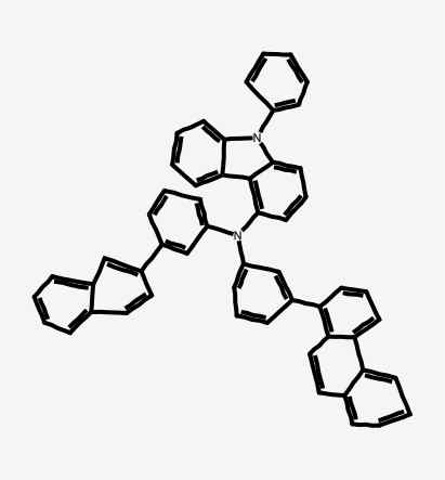 c1ccc(-n2c3ccccc3c3c(N(c4cccc(-c5ccc6ccccc6c5)c4)c4cccc(-c5cccc6c5ccc5ccccc56)c4)cccc32)cc1